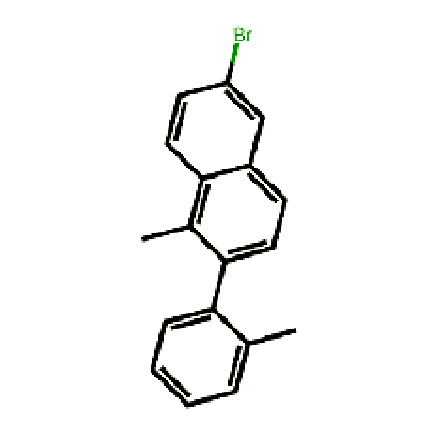 Cc1ccccc1-c1ccc2cc(Br)ccc2c1C